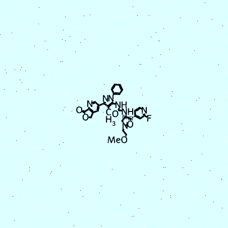 COCCN1C[C@@H](NC(=O)Nc2c(C)c(-c3cnc4c(c3)COC4=O)nn2-c2ccccc2)[C@H](c2ccnc(F)c2)O1